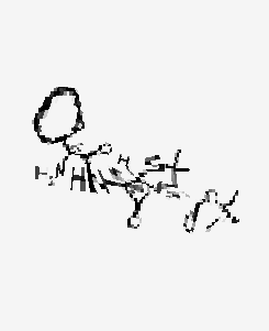 CC1(C)S[C@@H]2[C@H](NC(=O)[C@@H](N)c3ccccc3)C(=O)N2[C@H]1C(=O)O[Si](C)(C)C